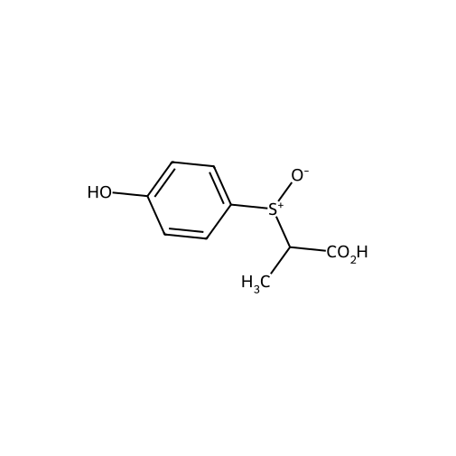 CC(C(=O)O)[S+]([O-])c1ccc(O)cc1